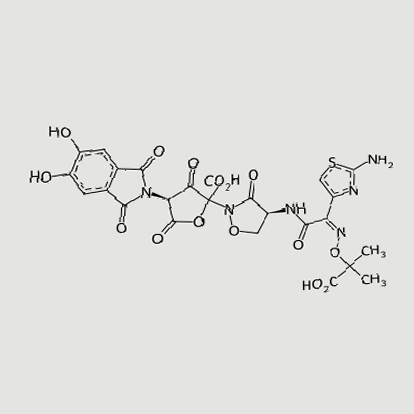 CC(C)(O/N=C(\C(=O)N[C@H]1CON(C2(C(=O)O)OC(=O)[C@@H](N3C(=O)c4cc(O)c(O)cc4C3=O)C2=O)C1=O)c1csc(N)n1)C(=O)O